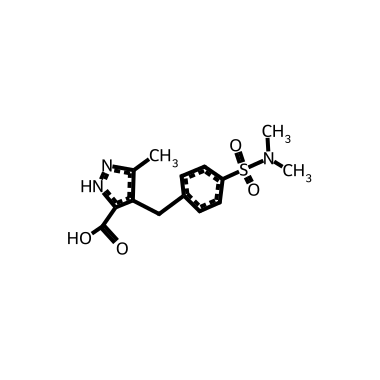 Cc1n[nH]c(C(=O)O)c1Cc1ccc(S(=O)(=O)N(C)C)cc1